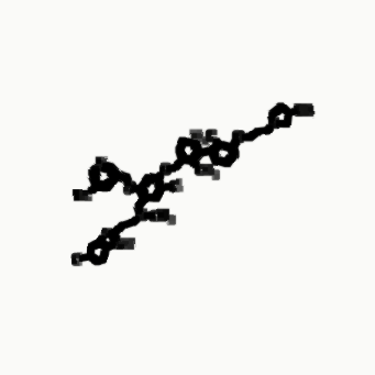 Cc1c(COc2cc(OCc3cncc(C#N)c3)c(CN(C)CCc3nc4cc(Cl)ccc4[nH]3)cc2Cl)cccc1-c1cccc(OCCCN2CC[C@@H](O)C2)c1C